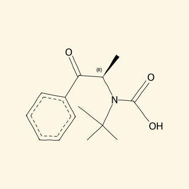 C[C@H](C(=O)c1ccccc1)N(C(=O)O)C(C)(C)C